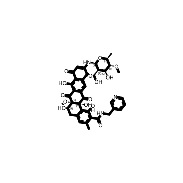 CO[C@@H]1[C@@H](O)[C@@H](CO)[C@@H](NC2=CC(=O)c3c(cc4c(c3O)C(=O)[C@]3(OC)[C@H](O)Cc5cc(C)c(C(=O)NCc6cccnc6)c(O)c5[C@]3(O)C4=O)C2=O)O[C@H]1C